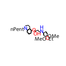 CCCCCN1CCCc2c(OC(O)CCNC3=CC(OC)C(OC)(OCC)C=C3)cccc21